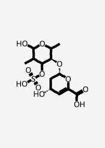 CC1C(O)OC(C)[C@@H](O[C@H]2C[C@@H](O)C=C(C(=O)O)O2)C1OS(=O)(=O)O